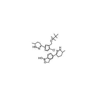 CC1CCC(c2ccc(Cl)c(CO[Si](C)(C)C(C)(C)C)c2)=NN1.CC1CCC(c2ccc3c(c2)COB3O)=NN1